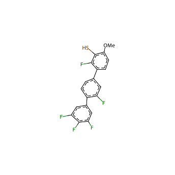 COc1ccc(-c2ccc(-c3cc(F)c(F)c(F)c3)c(F)c2)c(F)c1S